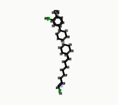 N#Cc1ccc(C2CCC([C@H]3CC[C@H](CCCCCC/C=C/F)CC3)CC2)cc1F